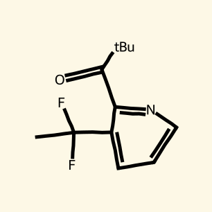 CC(C)(C)C(=O)c1ncccc1C(C)(F)F